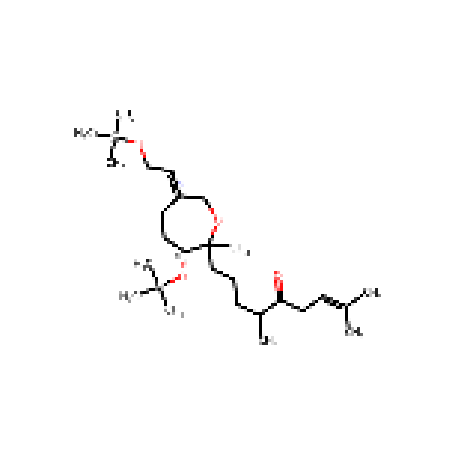 CC(C)=CCC(=O)C(C)CCCC1(C)OC/C(=C/CO[Si](C)(C)C)CC[C@H]1O[Si](C)(C)C